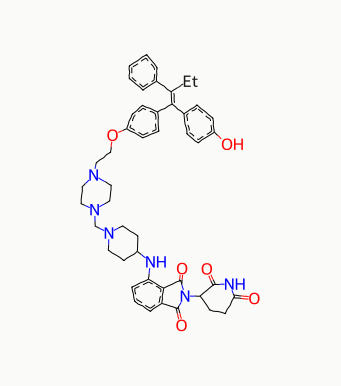 CC/C(=C(\c1ccc(O)cc1)c1ccc(OCCN2CCN(CN3CCC(Nc4cccc5c4C(=O)N(C4CCC(=O)NC4=O)C5=O)CC3)CC2)cc1)c1ccccc1